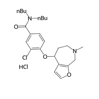 CCCCN(CCCC)C(=O)c1ccc(OC2CCN(C)Cc3occc32)c(Cl)c1.Cl